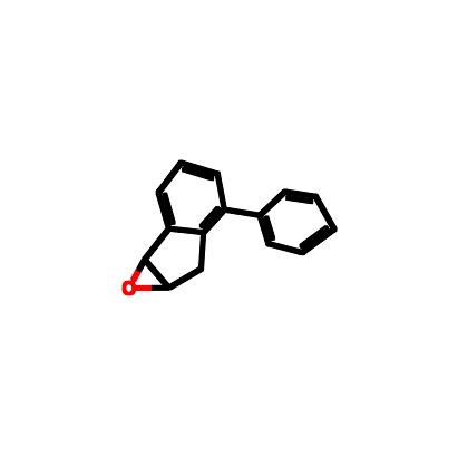 c1ccc(-c2cccc3c2CC2OC32)cc1